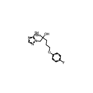 CC(C)(C)C(O)(CCCOc1ccc(F)cc1)Cn1ncnc1S